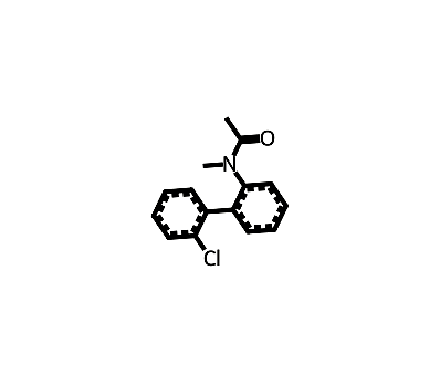 CC(=O)N(C)c1ccccc1-c1ccccc1Cl